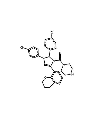 O=C(N1CCNCC1)N1C(c2cccc3c2OCCC3)=NC(c2ccc(Cl)cc2)C1c1ccc(Cl)cc1